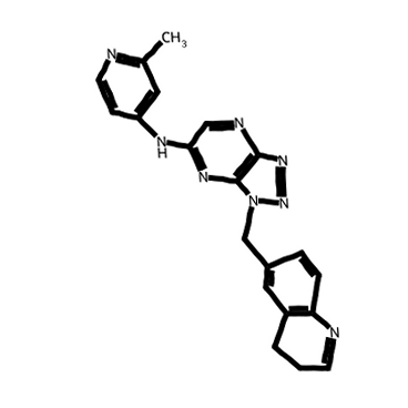 Cc1cc(Nc2cnc3nnn(Cc4ccc5c(c4)CCC=N5)c3n2)ccn1